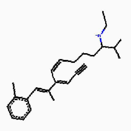 C#C/C=C(\C=C/CCCC(NCC)C(C)C)C(/C)=C/c1ccccc1C